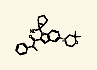 CN(C(=O)c1cc2cc([C@H]3CCOC(C)(C)C3)ccc2n1C1(C#N)C2CCCC21)c1ccccc1